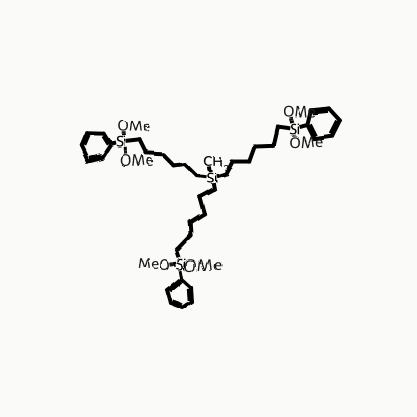 CO[Si](CCCCCC[Si](C)(CCCCCC[Si](OC)(OC)c1ccccc1)CCCCCC[Si](OC)(OC)c1ccccc1)(OC)c1ccccc1